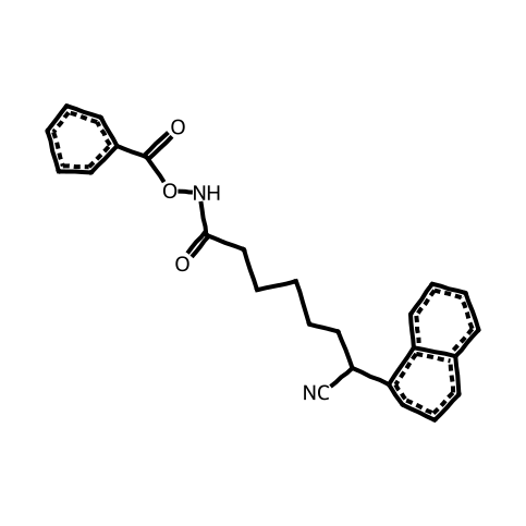 N#CC(CCCCCC(=O)NOC(=O)c1ccccc1)c1cccc2ccccc12